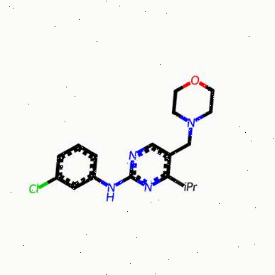 CC(C)c1nc(Nc2cccc(Cl)c2)ncc1CN1CCOCC1